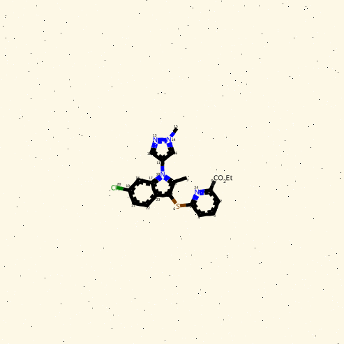 CCOC(=O)c1cccc(Sc2c(C)n(-c3cnn(C)c3)c3cc(Cl)ccc23)n1